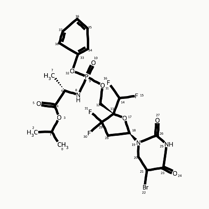 CC(C)OC(=O)[C@H](C)NP(=O)(OC[C@@]1(C(F)F)O[C@@H](N2CC(Br)C(=O)NC2=O)CC1(F)F)Oc1ccccc1